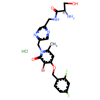 Cc1cc(OCc2ccc(F)cc2F)c(Br)c(=O)n1Cc1cnc(CNC(=O)[C@H](N)CO)cn1.Cl